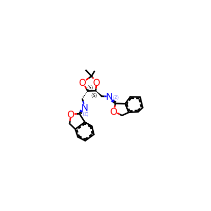 CC1(C)O[C@@H](C/N=C2\OCc3ccccc32)[C@H](C/N=C2\OCc3ccccc32)O1